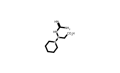 N=C(N)NN(CC(=O)O)N1CCCCC1